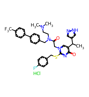 CC(c1cn[nH]c1)c1cn(CC(=O)N(CCN(C)C)Cc2ccc(-c3ccc(C(F)(F)F)cc3)cc2)c(SCc2ccc(F)cc2)nc1=O.Cl